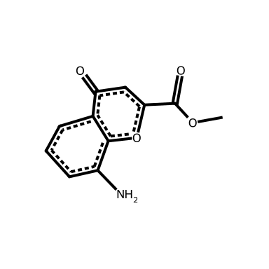 COC(=O)c1cc(=O)c2cccc(N)c2o1